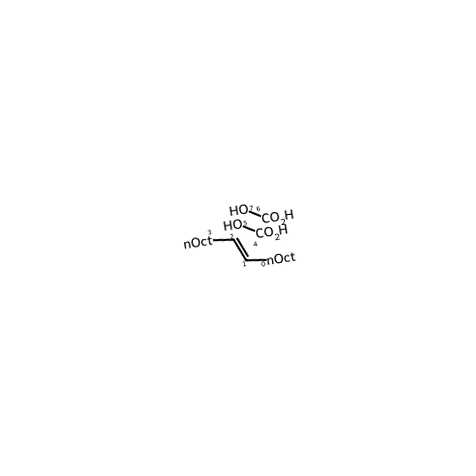 CCCCCCCCC=CCCCCCCCC.O=C(O)O.O=C(O)O